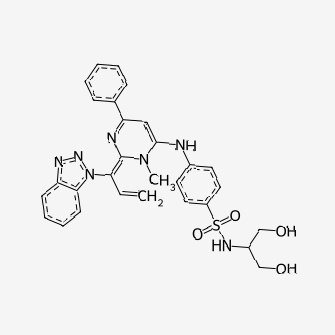 C=C/C(=C1/N=C(c2ccccc2)C=C(Nc2ccc(S(=O)(=O)NC(CO)CO)cc2)N1C)n1nnc2ccccc21